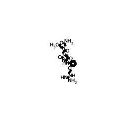 CC(=O)CN(CCN)C(=O)Cn1cc2c(nc1=O)Nc1c(OCCNC(=N)N)cccc1O2